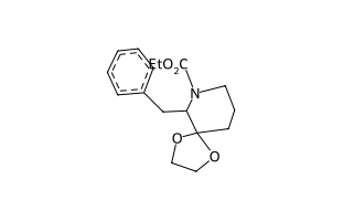 CCOC(=O)N1CCCC2(OCCO2)C1Cc1ccccc1